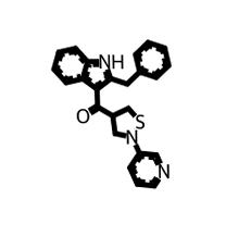 O=C(c1c(Cc2ccccc2)[nH]c2ccccc12)C1CSN(c2cccnc2)C1